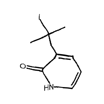 CC(C)(I)c1ccc[nH]c1=O